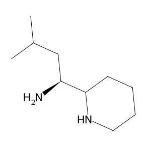 CC(C)C[C@H](N)C1CCCCN1